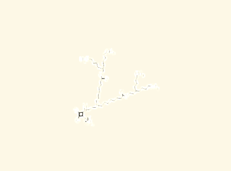 CCCCCC(CCCCC)CCOC(=O)CCCCCCCN(CCCCCCCC(=O)OCC(CCCCC)CCCCC)CCCNc1c(NC)c(=O)c1=O